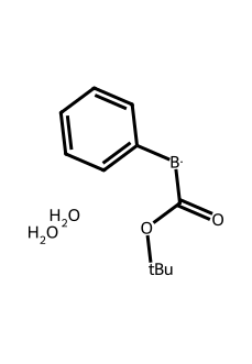 CC(C)(C)OC(=O)[B]c1ccccc1.O.O